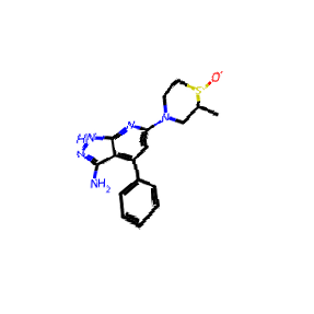 CC1CN(c2cc(-c3ccccc3)c3c(N)n[nH]c3n2)CC[S+]1[O-]